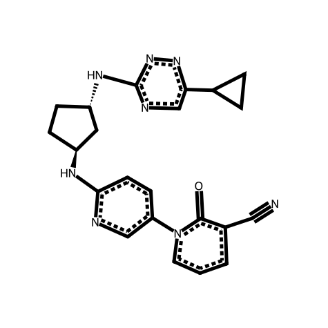 N#Cc1cccn(-c2ccc(N[C@H]3CC[C@H](Nc4ncc(C5CC5)nn4)C3)nc2)c1=O